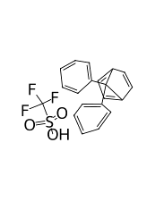 C1=CC2=CC=C1C2(c1ccccc1)c1ccccc1.O=S(=O)(O)C(F)(F)F